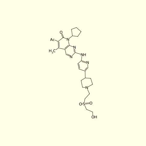 CC(=O)c1c(C)c2cnc(Nc3ccc(C4CCN(CCS(=O)(=O)CCO)CC4)cn3)nc2n(C2CCCC2)c1=O